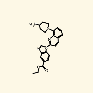 CCOC(=O)c1ccc2c(c1)ncn2-c1ccc2cccc(N3CCC(N)CC3)c2n1